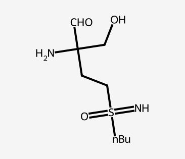 CCCCS(=N)(=O)CCC(N)(C=O)CO